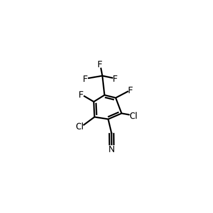 N#Cc1c(Cl)c(F)c(C(F)(F)F)c(F)c1Cl